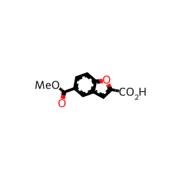 COC(=O)c1ccc2oc(C(=O)O)cc2c1